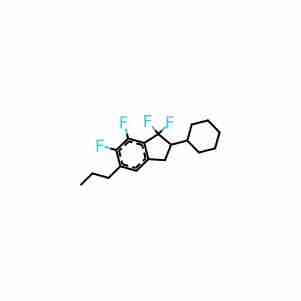 CCCc1cc2c(c(F)c1F)C(F)(F)C(C1CCCCC1)C2